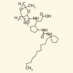 CCCCCCCCCCC1(NC(=O)NC2CCCC2C(CC(=O)O)NC(=O)C2OC(C)(C)OCC2(C)C)CCCC1